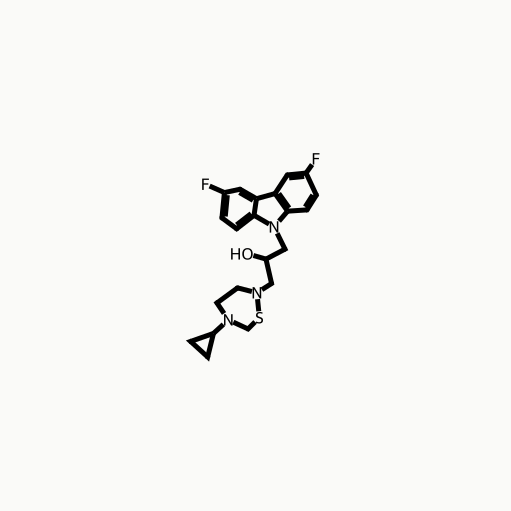 OC(CN1CCN(C2CC2)CS1)Cn1c2ccc(F)cc2c2cc(F)ccc21